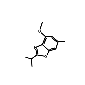 COc1cc(C)cc2sc(C(C)C)nc12